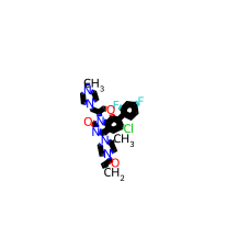 C=CC(=O)N1CCN(c2nc(=O)n3c4c(c(-c5ccc(F)cc5F)c(Cl)cc24)OCC3CN2CCN(C)CC2)[C@@H](C)C1